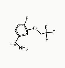 C[C@@H](N)c1ccc(F)c(OCC(F)(F)F)c1